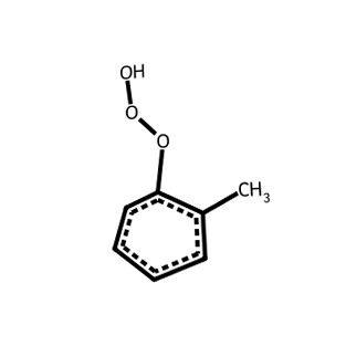 Cc1ccccc1OOO